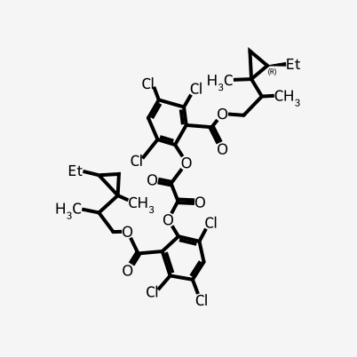 CCC1CC1(C)C(C)COC(=O)c1c(Cl)c(Cl)cc(Cl)c1OC(=O)C(=O)Oc1c(Cl)cc(Cl)c(Cl)c1C(=O)OCC(C)C1(C)C[C@H]1CC